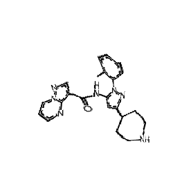 Cc1ccccc1-n1nc(C2CCNCC2)cc1NC(=O)c1cnn2cccnc12